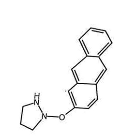 [c]1c(ON2CCCN2)ccc2cc3ccccc3cc12